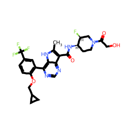 Cc1[nH]c2c(-c3cc(C(F)(F)F)ccc3OCC3CC3)ncnc2c1C(=O)N[C@@H]1CCN(C(=O)CO)C[C@@H]1F